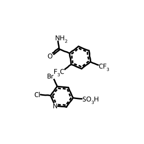 NC(=O)c1ccc(C(F)(F)F)cc1C(F)(F)F.O=S(=O)(O)c1cnc(Cl)c(Br)c1